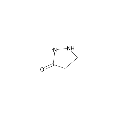 O=C1CCN[N]1